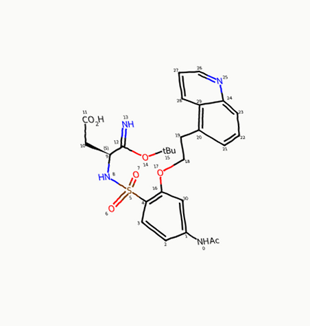 CC(=O)Nc1ccc(S(=O)(=O)N[C@@H](CC(=O)O)C(=N)OC(C)(C)C)c(OCCc2cccc3ncccc23)c1